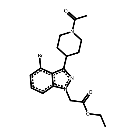 CCOC(=O)Cn1nc(C2CCN(C(C)=O)CC2)c2c(Br)cccc21